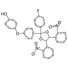 O=[N+]([O-])c1ccccc1C1OC(c2ccc(F)cc2)(c2ccc(Oc3ccc(O)cc3)cc2)OC1c1ccccc1[N+](=O)[O-]